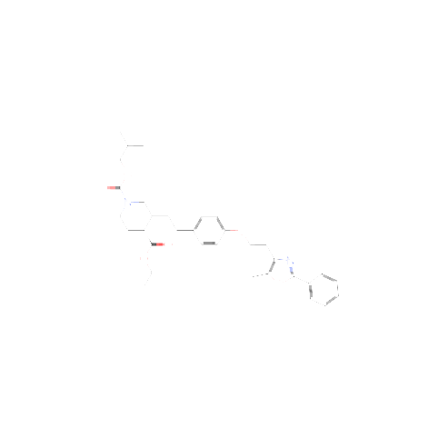 CCOC(=O)[C@H]1CCN(C(=O)OCC(C)C)CC1CCc1ccc(OCCc2nc(-c3ccccc3)oc2C)cc1